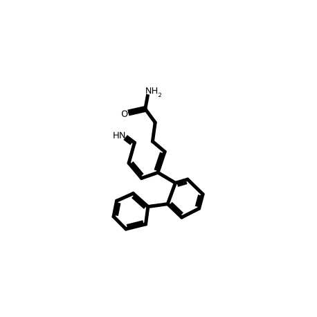 N=C/C=C\C(=C/CCC(N)=O)c1ccccc1-c1ccccc1